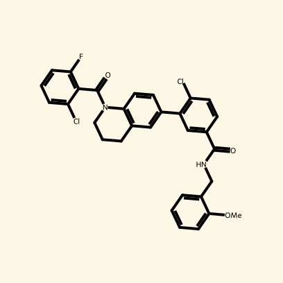 COc1ccccc1CNC(=O)c1ccc(Cl)c(-c2ccc3c(c2)CCCN3C(=O)c2c(F)cccc2Cl)c1